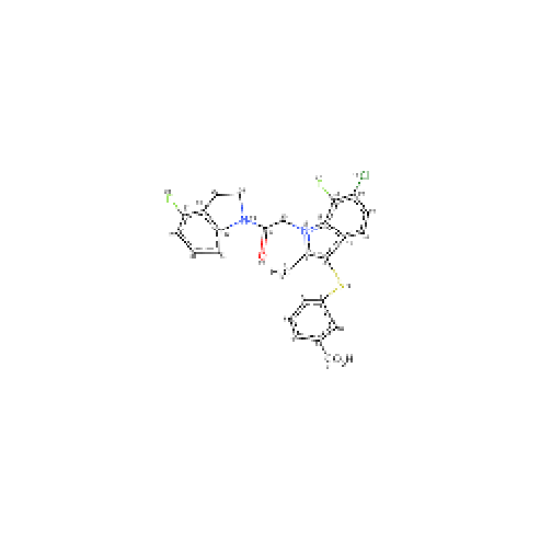 Cc1c(Sc2cccc(C(=O)O)c2)c2ccc(Cl)c(F)c2n1CC(=O)N1CCc2c(F)cccc21